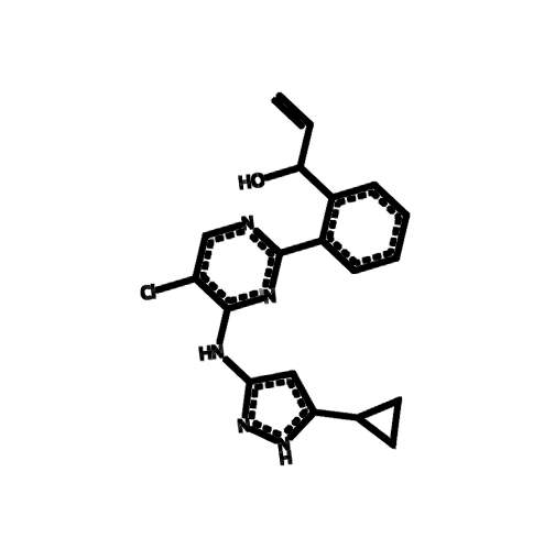 C=CC(O)c1ccccc1-c1ncc(Cl)c(Nc2cc(C3CC3)[nH]n2)n1